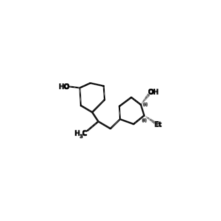 CC[C@@H]1CC(CC(C)C2CCCC(O)C2)CC[C@@H]1O